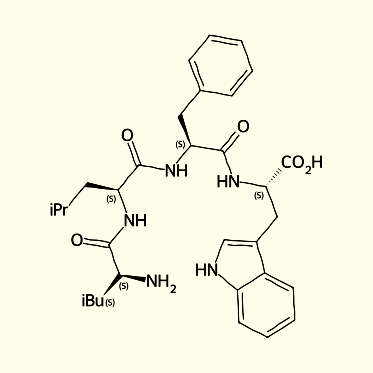 CC[C@H](C)[C@H](N)C(=O)N[C@@H](CC(C)C)C(=O)N[C@@H](Cc1ccccc1)C(=O)N[C@@H](Cc1c[nH]c2ccccc12)C(=O)O